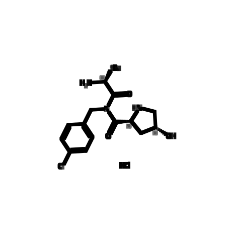 CC(C)(C)[C@H](N)C(=O)N(Cc1ccc(Cl)cc1)C(=O)[C@@H]1C[C@@H](O)CN1.Cl